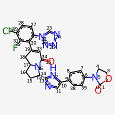 O=C1OCCN1c1ccc(-c2cnc([C@@H]3CCC4CC(c5c(-n6cnnn6)ccc(Cl)c5F)=CC(=O)N43)[nH]2)cc1